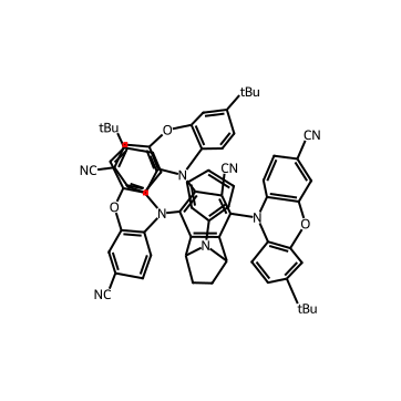 CC(C)(C)c1ccc2c(c1)Oc1cc(C#N)ccc1N2c1c(C#N)c(N2c3ccc(C#N)cc3Oc3cc(C(C)(C)C)ccc32)c(N2c3ccc(C#N)cc3Oc3cc(C(C)(C)C)ccc32)c2c1C1CCC2N1c1ccccc1